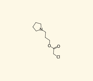 O=C(CCl)OCCCN1CCCC1